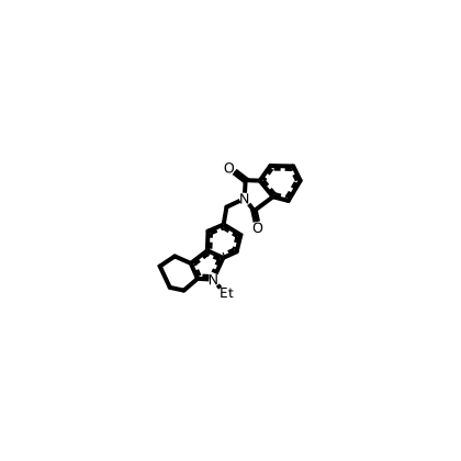 CCn1c2c(c3cc(CN4C(=O)c5ccccc5C4=O)ccc31)CCCC2